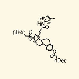 CCCCCCCCCCCC(=O)Oc1ccc2c(c1)CCC1C2CC[C@@]2(C)C1[C@H](CCC(=O)NC1NC=C(C)S1)C[C@@H]2OC(=O)CCCCCCCCCCC